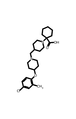 Cc1cc(Cl)ccc1OC1CCN(CC2CCN(C3(C(=O)O)CCCCC3)CC2)CC1